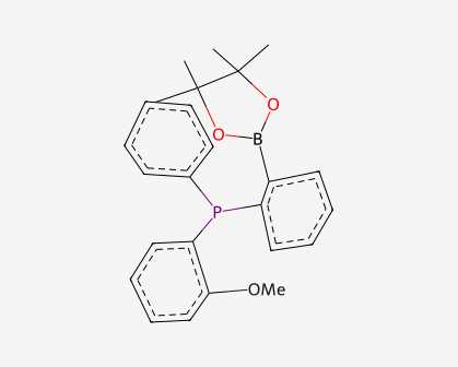 COc1ccccc1P(c1ccccc1)c1ccccc1B1OC(C)(C)C(C)(C)O1